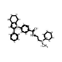 CN(CCNC(=O)c1ccc(-n2c(-c3ccccc3)cc3c2CCCC3)cc1)C1CCCCC1